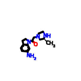 C[C@@H]1CN(CC(=O)N2CCc3ccc(N)cc32)CCN1